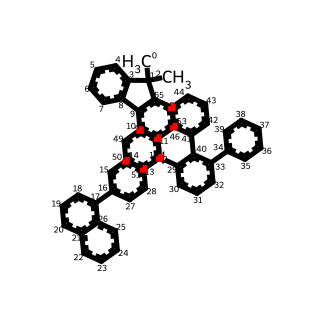 CC1(C)c2ccccc2-c2cc(N(c3ccc(-c4cccc5ccccc45)cc3)c3cccc(-c4ccccc4)c3-c3ccccc3-c3ccccc3)ccc21